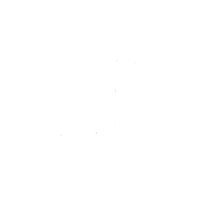 OC1(C2CC2)c2ccccc2OCOc2ccccc21